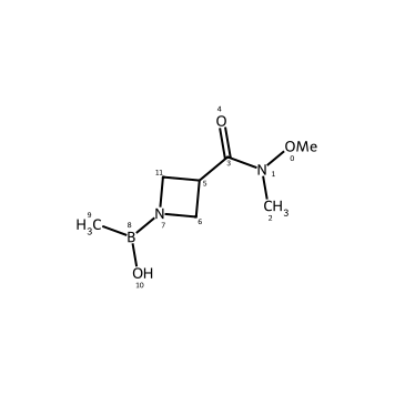 CON(C)C(=O)C1CN(B(C)O)C1